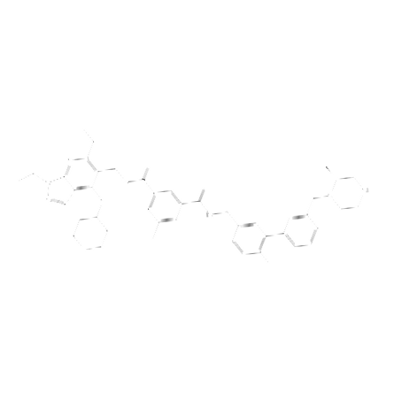 CCc1nc2c(cnn2CC)c(NC2CCOCC2)c1CNC(=O)c1cc(C)cc(C(=O)NCc2ccc(F)c(-c3cccc(CN4CCNC[C@@H]4C)c3)c2)c1